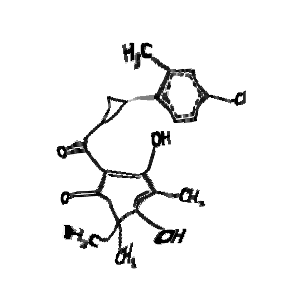 CC1=C(O)C(C)(C)C(=O)C(C(=O)C2C[C@@H]2c2ccc(Cl)cc2C)=C1O